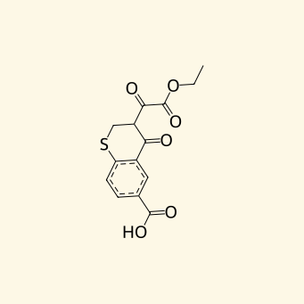 CCOC(=O)C(=O)C1CSc2ccc(C(=O)O)cc2C1=O